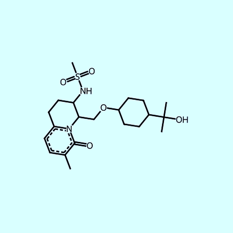 Cc1ccc2n(c1=O)C(COC1CCC(C(C)(C)O)CC1)C(NS(C)(=O)=O)CC2